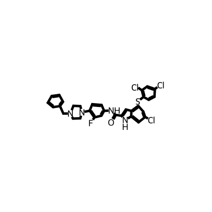 O=C(Nc1ccc(N2CCN(Cc3ccccc3)CC2)c(F)c1)c1cc2c(Sc3ccc(Cl)cc3Cl)cc(Cl)cc2[nH]1